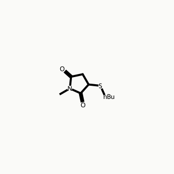 CCCCSC1CC(=O)N(C)C1=O